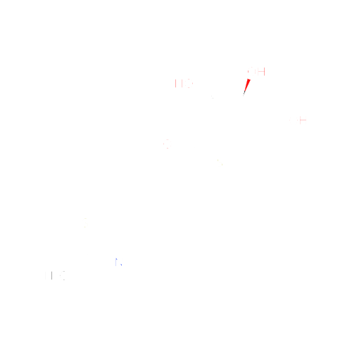 Cc1nc2ccc(O[C@H]3SC[C@@H](O)[C@H](O)[C@H]3O)cc2s1